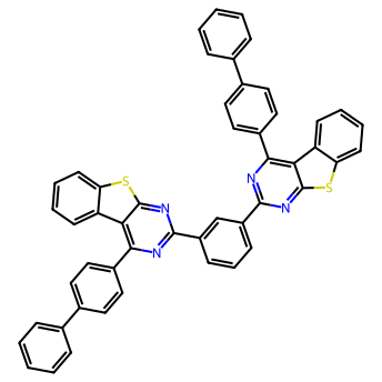 c1ccc(-c2ccc(-c3nc(-c4cccc(-c5nc(-c6ccc(-c7ccccc7)cc6)c6c(n5)sc5ccccc56)c4)nc4sc5ccccc5c34)cc2)cc1